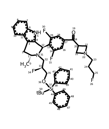 C[C@@H]1Cc2c([nH]c3ccccc23)[C@@H](c2c(F)cc(C(=O)C3CN(CCCF)C3)cc2F)N1C[C@H](F)CO[Si](c1ccccc1)(c1ccccc1)C(C)(C)C